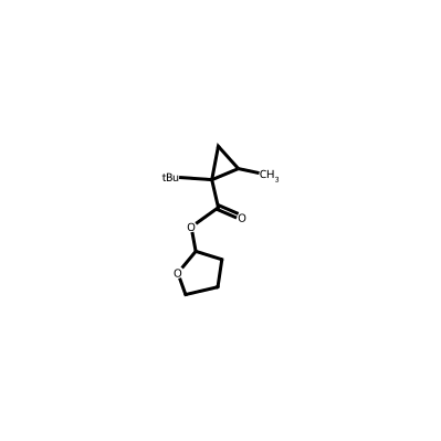 CC1CC1(C(=O)OC1CCCO1)C(C)(C)C